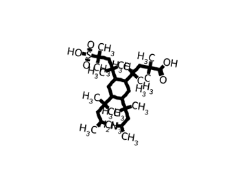 CC(C)CC(C)(C)C1CC(C(C)(C)CC(C)(C)S(=O)(=O)O)C(C(C)(C)CC(C)(C)C(=O)O)CC1C(C)(C)CC(C)N